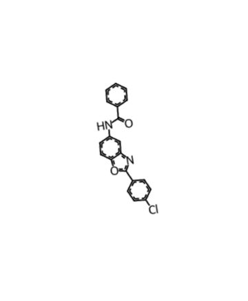 O=C(Nc1ccc2oc(-c3ccc(Cl)cc3)nc2c1)c1ccccc1